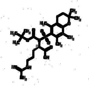 Cc1c(C)c(S(=O)(=O)N(C(=O)OC(C)(C)C)[C@@H](CCCNC(=N)N)C(=O)O)c(C)c2c1OC(C)(C)CC2